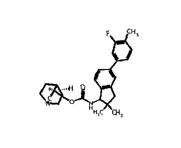 Cc1ccc(-c2ccc3c(c2)CC(C)(C)C3NC(=O)O[C@H]2CN3CCC2CC3)cc1F